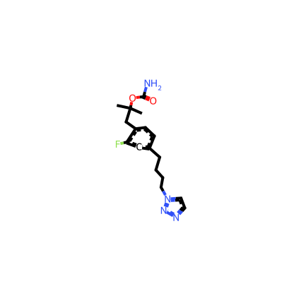 CC(C)(Cc1ccc(CCCCn2ccnn2)cc1F)OC(N)=O